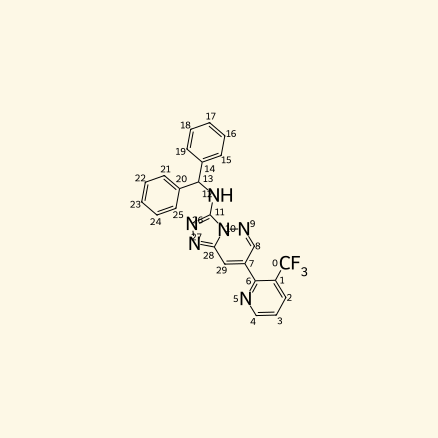 FC(F)(F)c1cccnc1-c1cnn2c(NC(c3ccccc3)c3ccccc3)nnc2c1